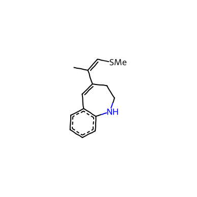 CS/C=C(/C)C1=Cc2ccccc2NCC1